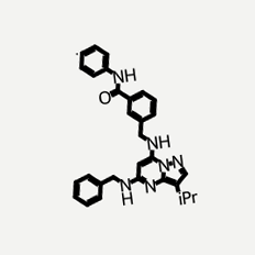 CC(C)c1cnn2c(NCc3cccc(C(=O)Nc4cc[c]cc4)c3)cc(NCc3ccccc3)nc12